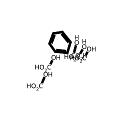 O=C(O)O.O=C(O)O.O=C(O)O.O=C(O)O.O=C(O)O.c1ccccc1